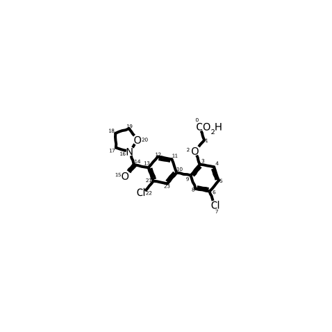 O=C(O)COc1ccc(Cl)cc1-c1ccc(C(=O)N2CCCO2)c(Cl)c1